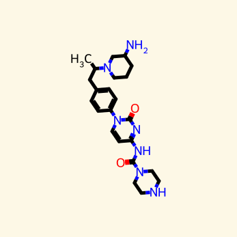 CC(Cc1ccc(-n2ccc(NC(=O)N3CCNCC3)nc2=O)cc1)N1CCCC(N)C1